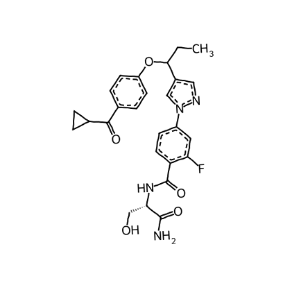 CCC(Oc1ccc(C(=O)C2CC2)cc1)c1cnn(-c2ccc(C(=O)N[C@@H](CO)C(N)=O)c(F)c2)c1